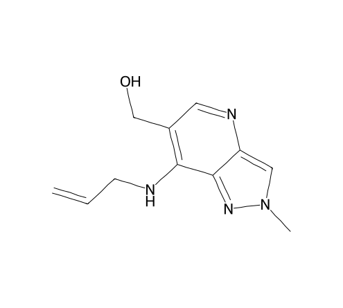 C=CCNc1c(CO)cnc2cn(C)nc12